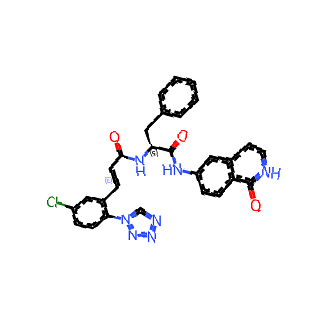 O=C(/C=C/c1cc(Cl)ccc1-n1cnnn1)N[C@@H](Cc1ccccc1)C(=O)Nc1ccc2c(=O)[nH]ccc2c1